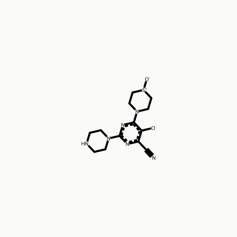 N#Cc1nc(N2CCNCC2)nc(N2CC[S+]([O-])CC2)c1Cl